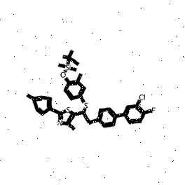 Cc1ccc(-c2nc(C)c(C(Cc3ccc(-c4ccc(F)c(Cl)c4)cc3)Sc3ccc(O[Si](C)(C)C(C)(C)C)c(C)c3)s2)cc1